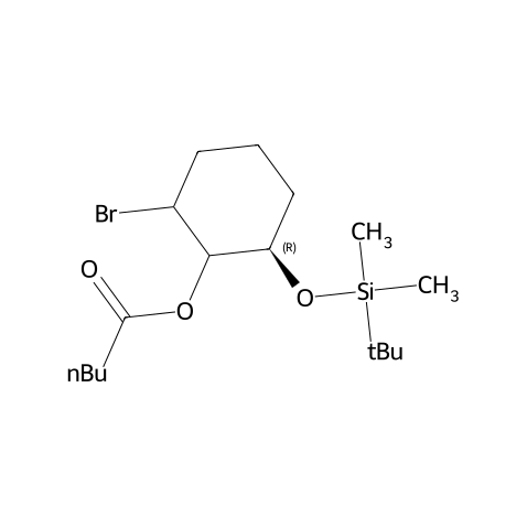 CCCCC(=O)OC1C(Br)CCC[C@H]1O[Si](C)(C)C(C)(C)C